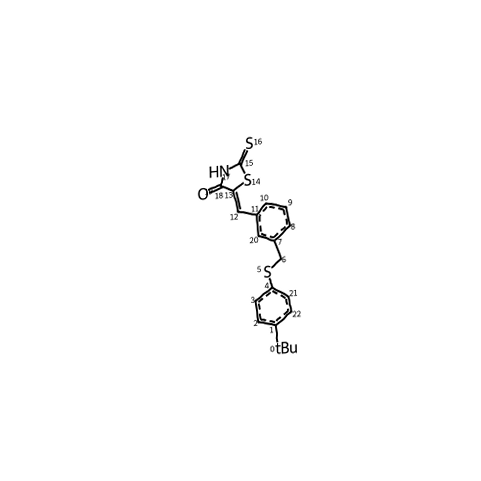 CC(C)(C)c1ccc(SCc2cccc(/C=C3\SC(=S)NC3=O)c2)cc1